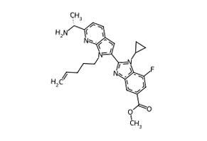 C=CCCCn1c(-c2nc3cc(C(=O)OC)cc(F)c3n2C2CC2)cc2ccc([C@@H](C)N)nc21